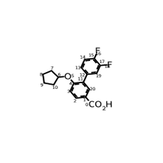 O=C(O)c1ccc(OC2CCCC2)c(-c2ccc(F)c(F)c2)c1